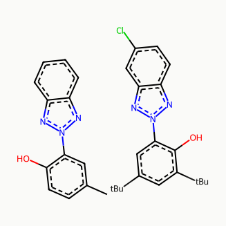 CC(C)(C)c1cc(-n2nc3ccc(Cl)cc3n2)c(O)c(C(C)(C)C)c1.Cc1ccc(O)c(-n2nc3ccccc3n2)c1